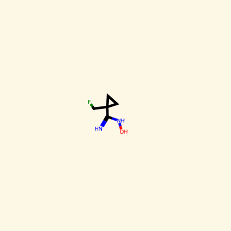 N=C(NO)C1(CF)CC1